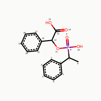 CC(c1ccccc1)P(=O)(O)OC(C(=O)O)c1ccccc1